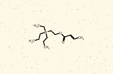 C/C=C/C(=O)OCC[N+](CC)(CCC)CCC